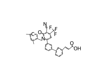 Cc1ccc(Cn2c(-c3cccc(-c4cccc(C=CC(=O)O)c4)c3)cc(C(F)(F)F)c(C#N)c2=O)c(C)c1